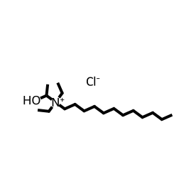 CCCCCCCCCCCC[N+](CC)(CC)C(C)O.[Cl-]